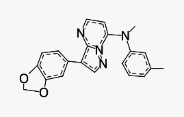 Cc1cccc(N(C)c2ccnc3c(-c4ccc5c(c4)OCO5)cnn23)c1